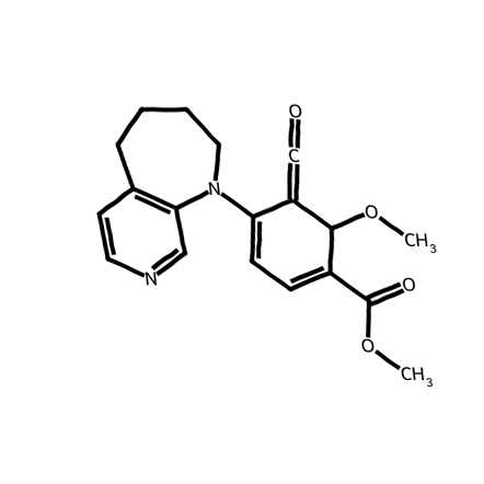 COC(=O)C1=CC=C(N2CCCCc3ccncc32)C(=C=O)C1OC